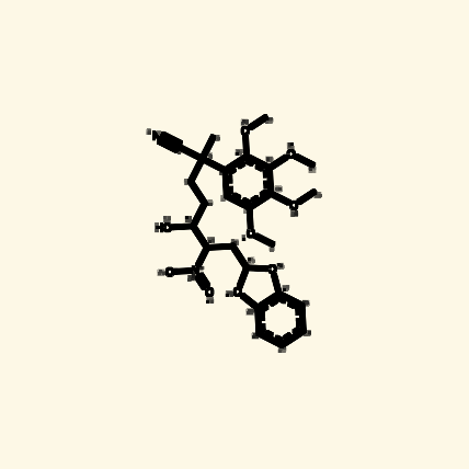 COc1cc(C(C)(C#N)CCC(O)C(CC2Oc3ccccc3O2)[N+](=O)[O-])c(OC)c(OC)c1OC